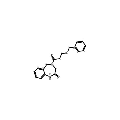 O=C1CN(C(=O)CCOCc2ccccc2)Cc2ccccc2N1